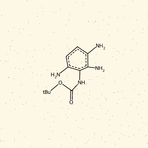 CC(C)(C)OC(=O)Nc1c(N)ccc(N)c1N